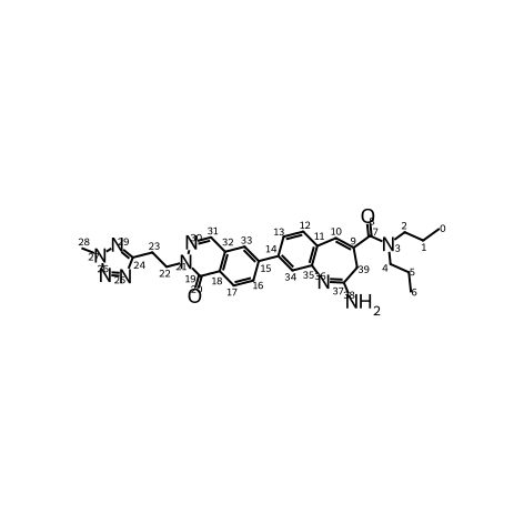 CCCN(CCC)C(=O)C1=Cc2ccc(-c3ccc4c(=O)n(CCc5nnn(C)n5)ncc4c3)cc2N=C(N)C1